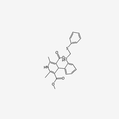 COC(=O)C1=C(C)NC(C)=C(C(=O)O)C1c1ccccc1OCSc1ccccc1